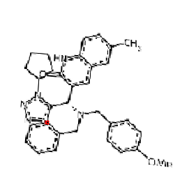 COc1ccc(CN(Cc2ccccc2)[C@@H](c2cc3cc(C)ccc3[nH]c2=O)c2nnnn2C2CCCC2)cc1